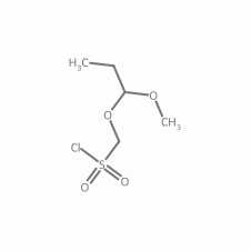 CCC(OC)OCS(=O)(=O)Cl